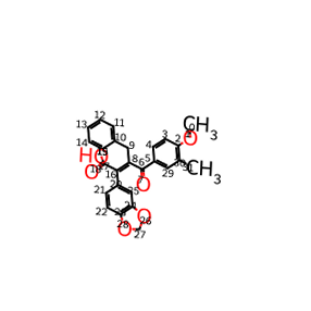 COc1ccc(C(=O)C(Cc2ccccc2)=C(C(=O)O)c2ccc3c(c2)OCO3)cc1C